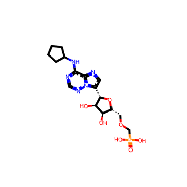 O=P(O)(O)COC[C@H]1O[C@@H](c2cnc3c(NC4CCCC4)ncnn23)[C@H](O)[C@@H]1O